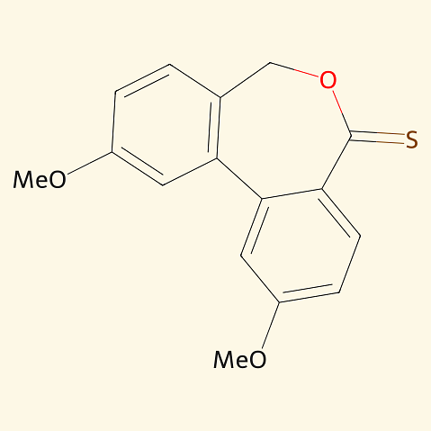 COc1ccc2c(c1)-c1cc(OC)ccc1C(=S)OC2